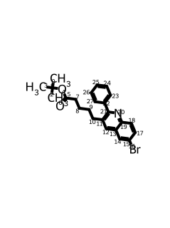 CC(C)(C)OC(=O)CCCCc1cc2cc(Br)ccc2nc1-c1ccccc1